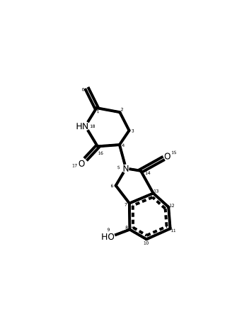 C=C1CCC(N2Cc3c(O)cccc3C2=O)C(=O)N1